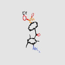 CCO[PH](=O)c1ccc(C(=O)c2c(C)cc(C)c(N)c2C)cc1